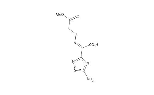 COC(=O)CON=C(C(=O)O)c1nsc(N)n1